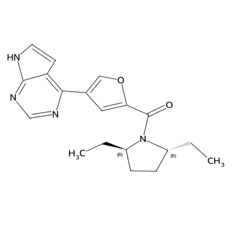 CC[C@@H]1CC[C@@H](CC)N1C(=O)c1cc(-c2ncnc3[nH]ccc23)co1